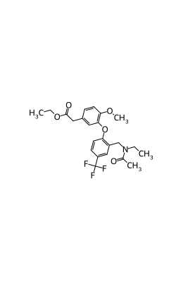 CCOC(=O)Cc1ccc(OC)c(Oc2ccc(C(F)(F)F)cc2CN(CC)C(C)=O)c1